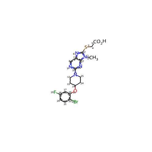 Cn1c(SCC(=O)O)nc2cnc(N3CCC(Oc4cc(F)ccc4Br)CC3)nc21